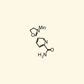 C1=NCCO1.NC(=O)c1ccccn1.[Mn]